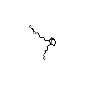 O=C=NCCCCC1CC2CCC1(CCN=C=O)C2